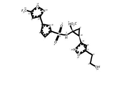 O=C(O)[C@@]1(NS(=O)(=O)c2ccc(-c3cc(C(F)(F)F)on3)s2)C[C@H]1c1cc(CCO)on1